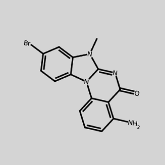 Cn1c2cc(Br)ccc2n2c3cccc(N)c3c(=O)nc12